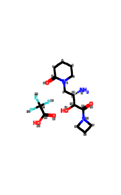 N[C@@H](CN1CCCCC1=O)C(O)C(=O)N1CCC1.O=C(O)C(F)(F)F